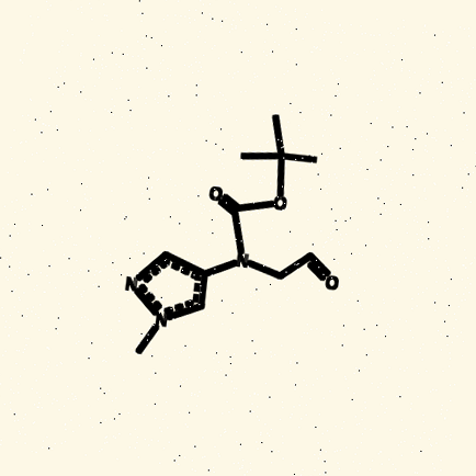 Cn1cc(N(CC=O)C(=O)OC(C)(C)C)cn1